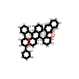 c1ccc(-c2ccc(-c3ccccc3-c3c4ccccc4c(-c4cccc5oc6c7ccccc7ccc6c45)c4ccccc34)cc2)cc1